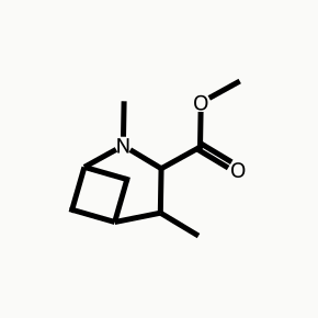 COC(=O)C1C(C)C2CC(C2)N1C